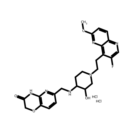 COc1ccc2ncc(F)c(CCN3CCC(NCc4ccc5c(n4)NC(=O)CO5)C(O)C3)c2n1.Cl.Cl